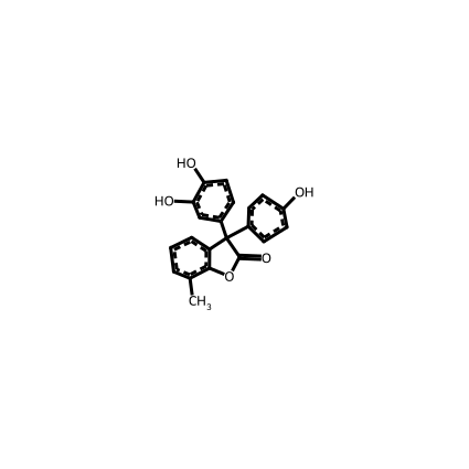 Cc1cccc2c1OC(=O)C2(c1ccc(O)cc1)c1ccc(O)c(O)c1